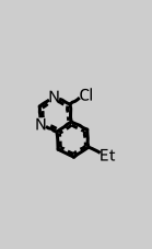 [CH2]Cc1ccc2ncnc(Cl)c2c1